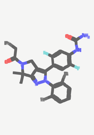 CCc1cccc(CC)c1-n1nc2c(c1-c1cc(F)c(NC(N)=O)cc1F)CN(C(=O)CC(C)C)C2(C)C